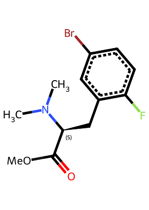 COC(=O)[C@H](Cc1cc(Br)ccc1F)N(C)C